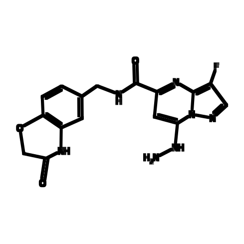 NNc1cc(C(=O)NCc2ccc3c(c2)NC(=O)CO3)nc2c(F)cnn12